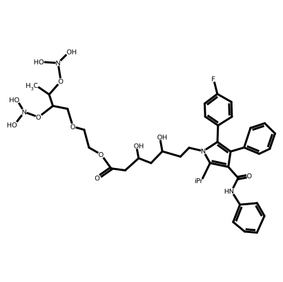 CC(C)c1c(C(=O)Nc2ccccc2)c(-c2ccccc2)c(-c2ccc(F)cc2)n1CCC(O)CC(O)CC(=O)OCCOCC(ON(O)O)C(C)ON(O)O